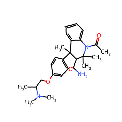 CC(=O)N1c2cc[c]cc2C(C)(c2ccc(OCC(C)N(C)C)cc2)C(C(N)=O)C1(C)C